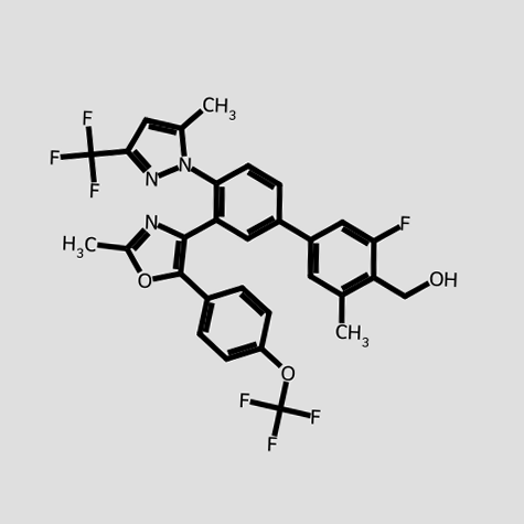 Cc1nc(-c2cc(-c3cc(C)c(CO)c(F)c3)ccc2-n2nc(C(F)(F)F)cc2C)c(-c2ccc(OC(F)(F)F)cc2)o1